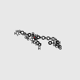 COc1cc(CN2CCN(C3CCN(C4CCN(c5ccc(C(=O)NS(=O)(=O)c6ccc(NCC7CCC(C)(O)CC7)c([N+](=O)[O-])c6)c(N6c7cc8cc[nH]c8nc7O[C@H]7COCC[C@@H]76)c5)CC4)CC3)[C@H](c3ccccc3C(C)C)C2)cnc1N1CCOCC1